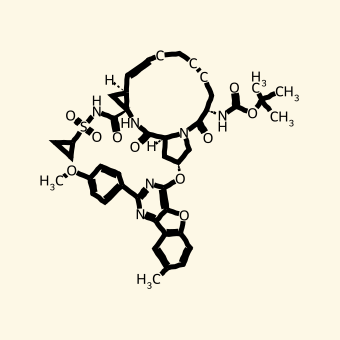 COc1ccc(-c2nc(O[C@@H]3C[C@H]4C(=O)N[C@]5(C(=O)NS(=O)(=O)C6CC6)C[C@H]5/C=C\CCCCC[C@H](NC(=O)OC(C)(C)C)C(=O)N4C3)c3oc4ccc(C)cc4c3n2)cc1